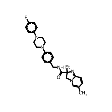 CCC1(C(=O)NCc2ccc(N3CCN(c4ccc(F)cc4)CC3)cc2)CN2C=C(C)C=CC2=N1